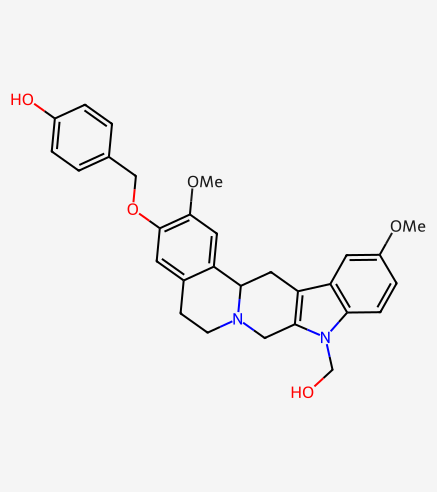 COc1ccc2c(c1)c1c(n2CO)CN2CCc3cc(OCc4ccc(O)cc4)c(OC)cc3C2C1